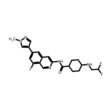 Cn1cc(-c2cc(F)c3cnc(NC(=O)C4CCC(NCC(F)F)CC4)cc3c2)cn1